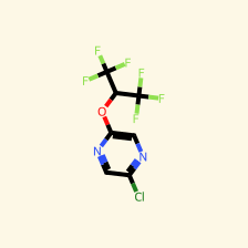 FC(F)(F)C(Oc1cnc(Cl)cn1)C(F)(F)F